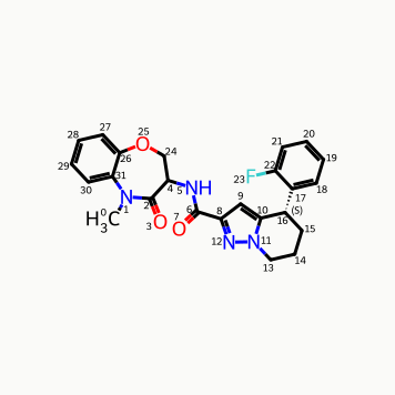 CN1C(=O)C(NC(=O)c2cc3n(n2)CCC[C@H]3c2ccccc2F)COc2ccccc21